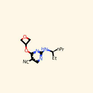 CCC[C@@H](CC)Nc1ncc(C#N)c(OC2COC2)n1